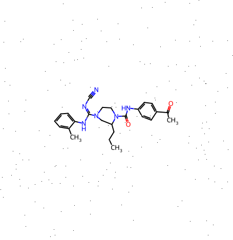 CCCC1CN(/C(=N\C#N)Nc2ccccc2C)CCN1C(=O)Nc1ccc(C(C)=O)cc1